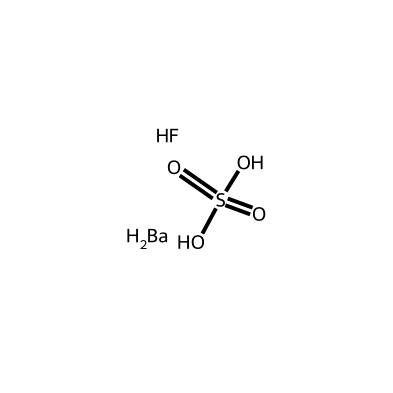 F.O=S(=O)(O)O.[BaH2]